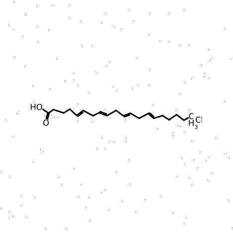 CCCCCC=CCC=CCC=CCC=CCCCC(=O)O.[C]